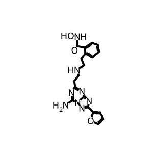 Nc1nc(CCNCCc2ccccc2C(=O)NO)nc2nc(-c3ccco3)nn12